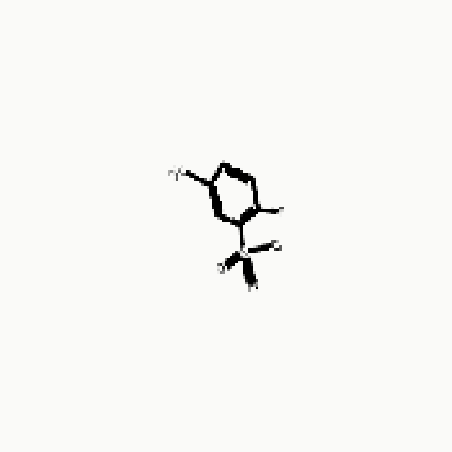 O=S(=O)(Cl)c1cc(C(F)(F)F)ccc1F